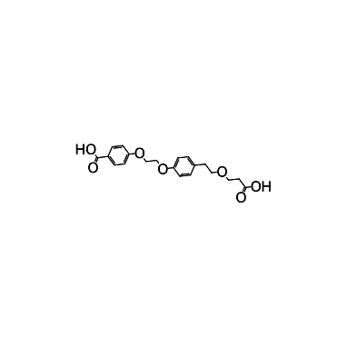 O=C(O)CCOCCc1ccc(OCCOc2ccc(C(=O)O)cc2)cc1